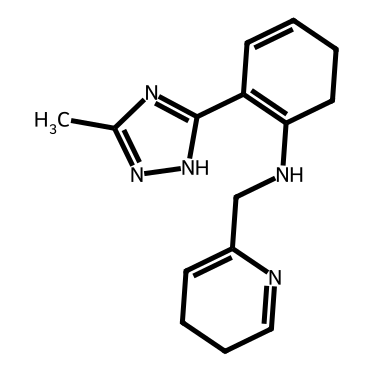 Cc1n[nH]c(C2=C(NCC3=CCCC=N3)CCC=C2)n1